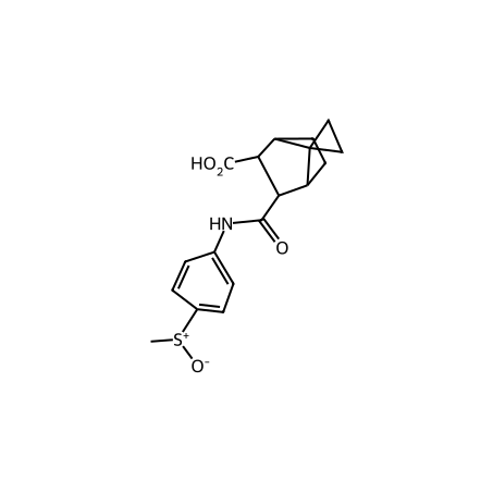 C[S+]([O-])c1ccc(NC(=O)C2C(C(=O)O)C3CCC2C32CC2)cc1